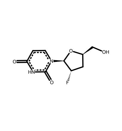 O=c1ccn([C@H]2O[C@@H](CO)C[C@@H]2F)c(=O)[nH]1